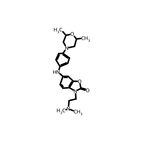 CC1CN(c2ccc(Nc3ccc4c(c3)oc(=O)n4CCN(C)C)cc2)CC(C)O1